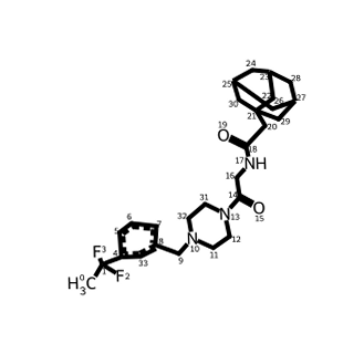 CC(F)(F)c1cccc(CN2CCN(C(=O)CNC(=O)CC34CC5CC(CC(C5)C3)C4)CC2)c1